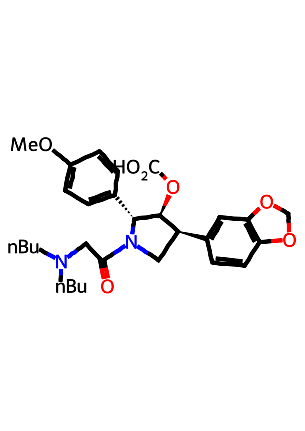 CCCCN(CCCC)CC(=O)N1C[C@H](c2ccc3c(c2)OCO3)[C@H](OC(=O)O)[C@H]1c1ccc(OC)cc1